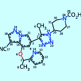 Cc1c(-c2cc(OC(C)c3ccccn3)c3c(C#N)cnn3c2)nnn1C1CCN(C(=O)O)CC1